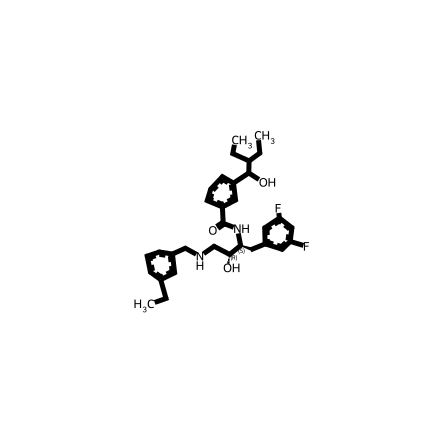 CCc1cccc(CNC[C@@H](O)[C@H](Cc2cc(F)cc(F)c2)NC(=O)c2cccc(C(O)C(CC)CC)c2)c1